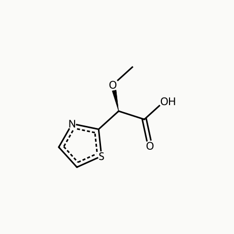 CO[C@@H](C(=O)O)c1nccs1